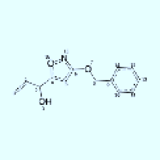 C=CC(O)c1cc(OCc2ccccc2)no1